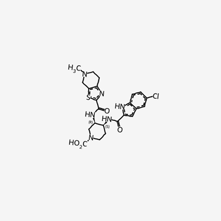 CN1CCc2nc(C(=O)N[C@@H]3CN(C(=O)O)CC[C@@H]3NC(=O)c3cc4cc(Cl)ccc4[nH]3)sc2C1